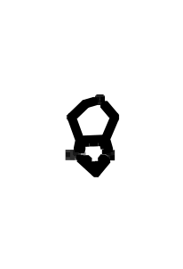 [CH]1COCc2nc[nH]c21